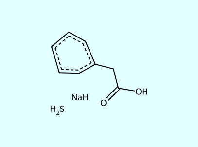 O=C(O)Cc1ccccc1.S.[NaH]